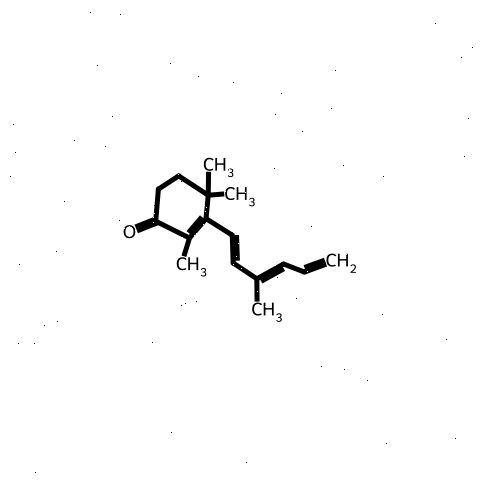 C=CC=C(C)/C=C/C1=C(C)C(=O)CCC1(C)C